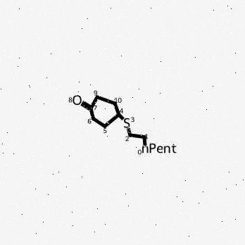 CCCCCCCSC1CCC(=O)CC1